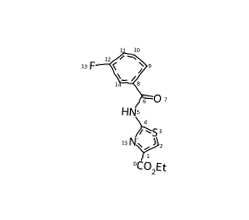 CCOC(=O)c1csc(NC(=O)c2cccc(F)c2)n1